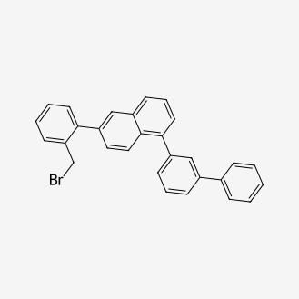 BrCc1ccccc1-c1ccc2c(-c3cccc(-c4ccccc4)c3)cccc2c1